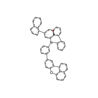 c1ccc(-c2ccccc2N(c2cccc(-c3ccc4c(c3)-c3cccc5cccc(c35)O4)c2)c2cccc(-c3cccc4ccccc34)c2)cc1